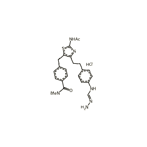 CNC(=O)c1ccc(Cc2sc(NC(C)=O)nc2CCc2ccc(NC=NN)cc2)cc1.Cl